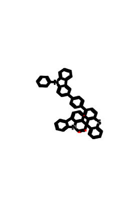 c1ccc(-n2c3ccccc3c3cc(-c4ccc(-c5ccc6c(c5)C5(c7ccccc7S6)c6ccccc6-n6c7ccccc7c7cccc5c76)cc4)ccc32)cc1